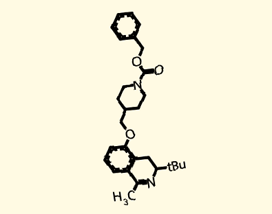 CC1=NC(C(C)(C)C)Cc2c(OCC3CCN(C(=O)OCc4ccccc4)CC3)cccc21